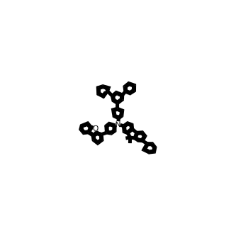 CC1(C)c2cc(-c3ccccc3)ccc2-c2ccc(N(c3ccc(-c4cc(-c5ccccc5)cc(-c5ccccc5)c4)cc3)c3ccc(-c4cccc5c4oc4ccccc45)cc3)cc21